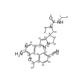 CCNC(=O)N1CC[C@@]2(CCn3nc(-c4cnc(N)c(OC(C)c5ccc(C#N)cc5)c4)cc32)C1